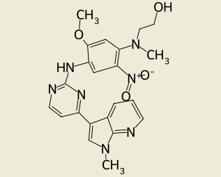 COc1cc(N(C)CCO)c([N+](=O)[O-])cc1Nc1nccc(-c2cn(C)c3ncccc23)n1